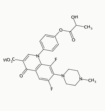 CC(O)C(=O)Oc1ccc(-n2cc(C(=O)O)c(=O)c3cc(F)c(N4CCN(C)CC4)c(F)c32)cc1